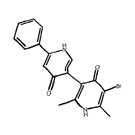 Cc1[nH]c(C)c(-c2c[nH]c(-c3ccccc3)cc2=O)c(=O)c1Br